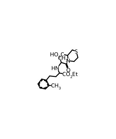 CCOC(=O)C(CCc1ccccc1C)NC(C)C(=O)N1CCSCC1C(=O)O